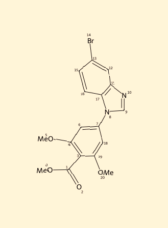 COC(=O)c1c(OC)cc(-n2cnc3cc(Br)ccc32)cc1OC